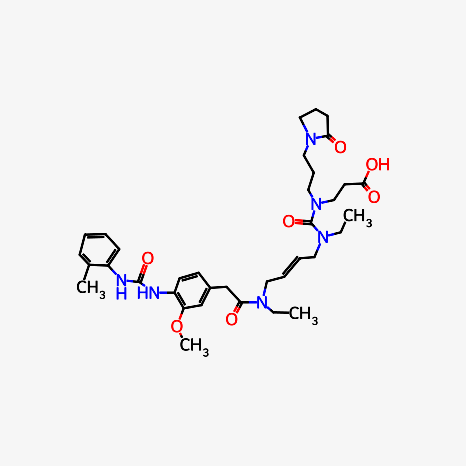 CCN(CC=CCN(CC)C(=O)N(CCCN1CCCC1=O)CCC(=O)O)C(=O)Cc1ccc(NC(=O)Nc2ccccc2C)c(OC)c1